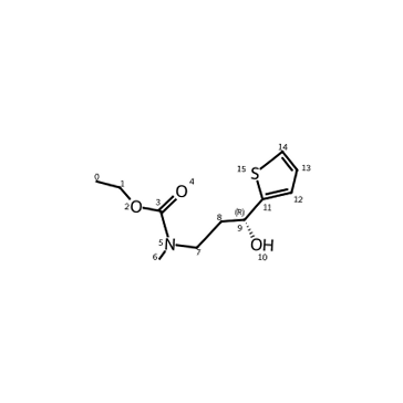 CCOC(=O)N(C)CC[C@@H](O)c1cccs1